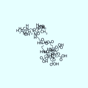 CC(=O)N[C@@H](CCC(=O)O)C(=O)NC(CCC(=O)O)C(=O)N[C@@H](CCC(=O)O)C(=O)NC(CCC(=O)O)C(=O)N[C@@H](CCC(=O)O)C(=O)NCCCC[C@@H](C=O)NC(=O)CCCC(=O)NCCC(CCNC(C)(C)/C(C)=N\O)CCNC(C)(C)/C(C)=N\O